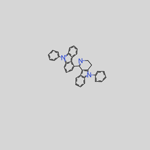 c1ccc(-n2c3c(c4ccccc42)C(c2cccc4c2c2ccccc2n4-c2ccccc2)=NCC3)cc1